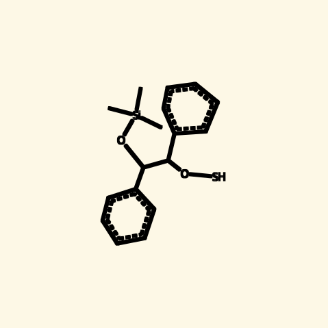 C[Si](C)(C)OC(c1ccccc1)C(OS)c1ccccc1